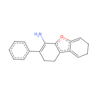 NC1=C(c2ccccc2)CCc2c1oc1c2=CCCC=1